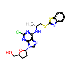 C[C@H](CSc1nc2ccccc2s1)Nc1nc(Cl)nc2c1ncn2[C@H]1CC[C@@H](CO)O1